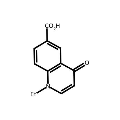 CCn1ccc(=O)c2cc(C(=O)O)ccc21